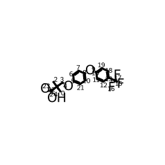 CC(C)(COc1ccc(Oc2ccc(C(F)(F)F)cc2)cc1)C(=O)O